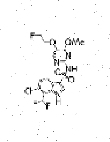 COc1nc(NS(=O)(=O)c2c[nH]c3c(C(F)F)c(Cl)ccc23)ncc1OCCF